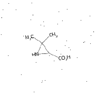 CC1(C)NC1C(=O)O